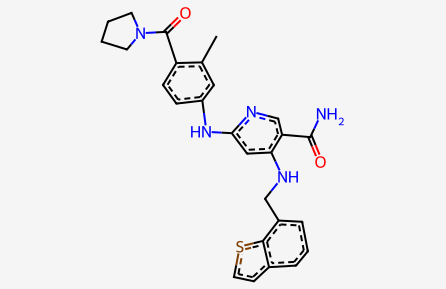 Cc1cc(Nc2cc(NCc3cccc4ccsc34)c(C(N)=O)cn2)ccc1C(=O)N1CCCC1